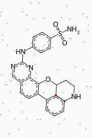 NS(=O)(=O)c1ccc(Nc2ncc3ccc(-c4ccccc4)c(OC4CCNCC4)c3n2)cc1